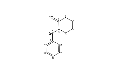 O=C1CCCCC1[Se]c1ccccc1